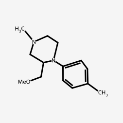 COCC1CN(C)CCN1c1ccc(C)cc1